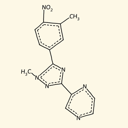 Cc1cc(-c2nc(-c3cnccn3)nn2C)ccc1[N+](=O)[O-]